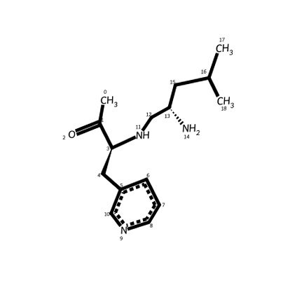 CC(=O)[C@H](Cc1cccnc1)NC[C@@H](N)CC(C)C